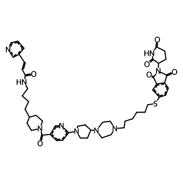 O=C(/C=C/c1cccnc1)NCCCCC1CCN(C(=O)c2ccc(N3CCC(N4CCN(CCCCCCSc5ccc6c(c5)C(=O)N(C5CCC(=O)NC5=O)C6=O)CC4)CC3)nc2)CC1